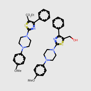 CCOC(=O)c1sc(N2CCN(c3ccc(OC)cc3)CC2)nc1-c1ccccc1.COc1ccc(N2CCN(c3nc(-c4ccccc4)c(CO)s3)CC2)cc1